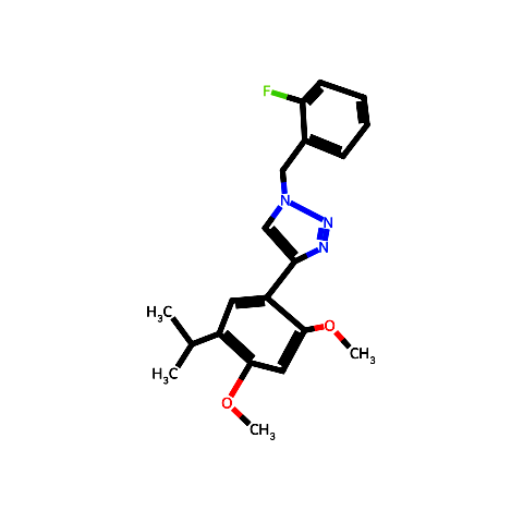 COc1cc(OC)c(C(C)C)cc1-c1cn(Cc2ccccc2F)nn1